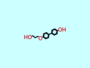 OCCCOc1ccc(-c2ccc(O)cc2)cc1